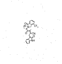 CC(C)C[C@@H](C(=O)N(C)[C@H](C#N)C[C@H]1C(=O)Nc2ccccc21)N1Cc2c(cccc2C(F)(F)F)C1=O